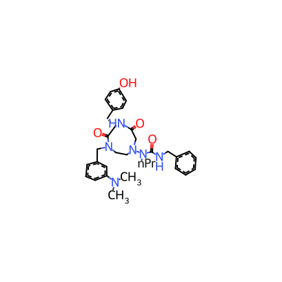 CCCN(C(=O)NCc1ccccc1)N1CCN(Cc2cccc(N(C)C)c2)C(=O)[C@H](Cc2ccc(O)cc2)NC(=O)C1